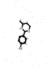 CCc1ccc(C2OCCC(C)O2)cc1